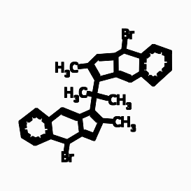 CC1=C(C(C)(C)C2=C(C)C=C3C2=Cc2ccccc2C3Br)C2=Cc3ccccc3C(Br)C2=C1